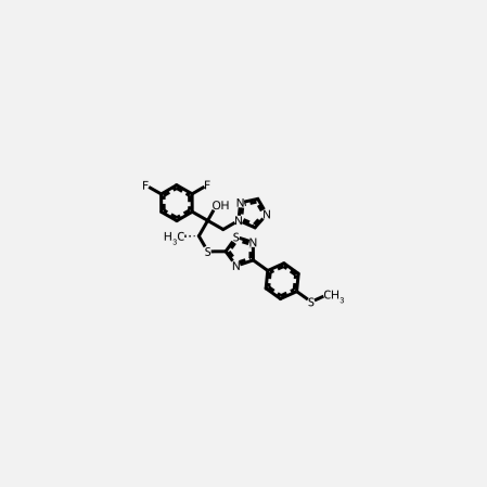 CSc1ccc(-c2nsc(S[C@H](C)C(O)(Cn3cncn3)c3ccc(F)cc3F)n2)cc1